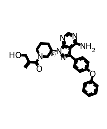 C=C(CO)C(=O)N1CCC[C@@H](n2nc(-c3ccc(Oc4ccccc4)cc3)c3c(N)ncnc32)C1